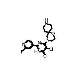 O=c1[nH]c(-c2ccnc(F)c2)nc(N2CCOC3(CCNCC3)C2)c1Cl